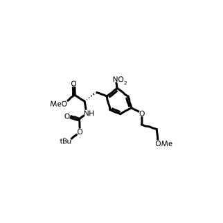 COCCOc1ccc(C[C@H](NC(=O)OC(C)(C)C)C(=O)OC)c([N+](=O)[O-])c1